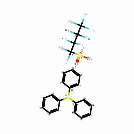 O=S(=O)([O-])C(F)(F)C(F)(F)C(F)(F)C(F)(F)F.c1ccc([S+](c2ccccc2)c2ccccc2)cc1